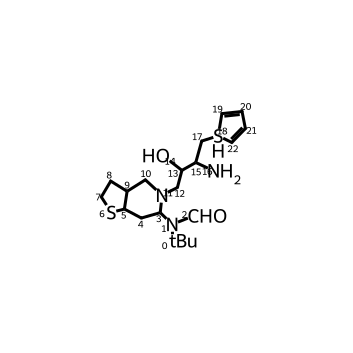 CC(C)(C)N(C=O)C1CC2SCCC2CN1CC(O)C(N)C[SH]1C=CC=C1